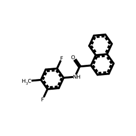 Cc1cc(F)c(NC(=O)c2cccc3ccccc23)cc1F